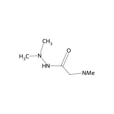 CNCC(=O)NN(C)C